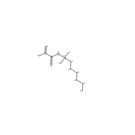 C=C(C)C(=O)O[Si](C)(C)CCCCCC